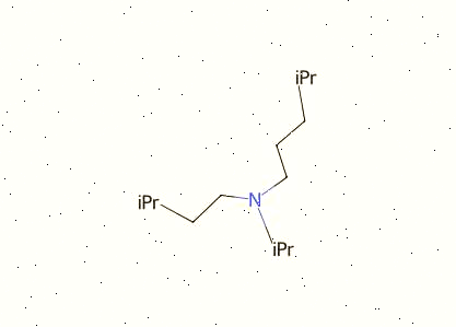 CC(C)CCCN(CCC(C)C)C(C)C